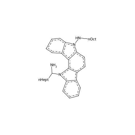 CCCCCCCCNn1c2ccccc2c2c1ccc1c3ccccc3n(C(N)CCCCCCC)c12